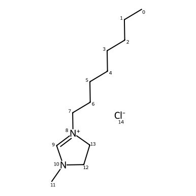 CCCCCCCC[N+]1=CN(C)CC1.[Cl-]